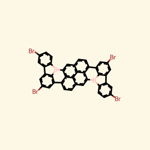 Brc1ccc2c(c1)-c1cc(Br)cc3c1B2c1cc2ccc4c5c(cc6ccc-3c1c6c25)B1c2ccc(Br)cc2-c2cc(Br)cc-4c21